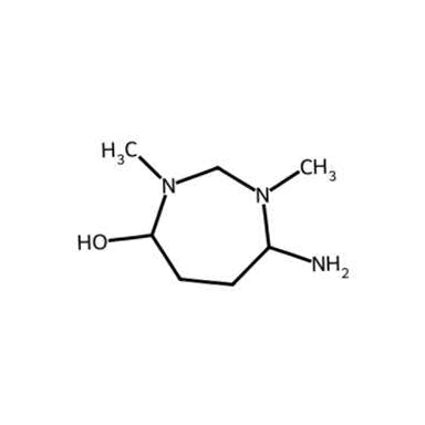 CN1CN(C)C(O)CCC1N